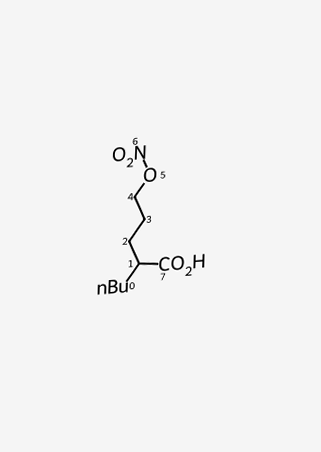 CCCCC(CCCO[N+](=O)[O-])C(=O)O